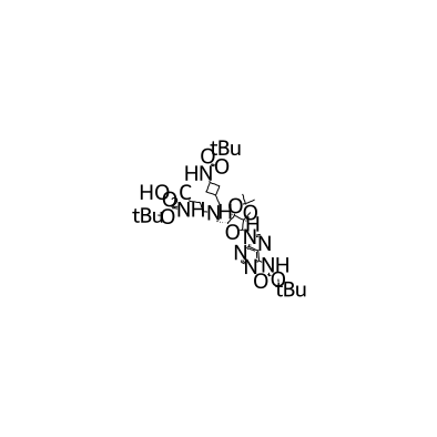 CC(C)(C)OC(=O)Nc1ncnc2c1ncn2[C@@H]1O[C@H](CN(CCC(NC(=O)OC(C)(C)C)C(=O)O)CC2CC(NC(=O)OC(C)(C)C)C2)[C@H]2OC(C)(C)O[C@H]21